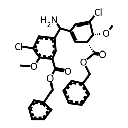 COc1c(Cl)cc(C(N)C2=C[C@@H](C(=O)OCc3ccccc3)[C@@H](OC)C(Cl)=C2)cc1C(=O)OCc1ccccc1